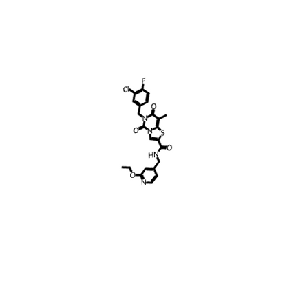 CCOc1cc(CNC(=O)c2cn3c(=O)n(Cc4ccc(F)c(Cl)c4)c(=O)c(C)c3s2)ccn1